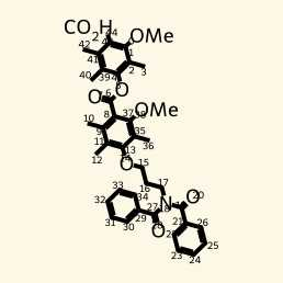 COc1c(C)c(OC(=O)c2c(C)c(C)c(OCCCN(C(=O)c3ccccc3)C(=O)c3ccccc3)c(C)c2OC)c(C)c(C)c1C(=O)O